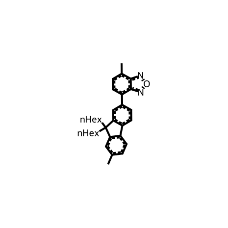 CCCCCCC1(CCCCCC)c2cc(C)ccc2-c2ccc(-c3ccc(C)c4nonc34)cc21